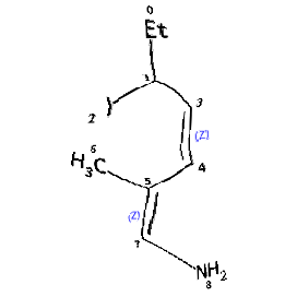 CCC(I)/C=C\C(C)=C/N